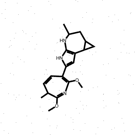 COC1=NC(OC)=C(c2cc3c([nH]2)NC(C)CC2CC32)C=CC1C